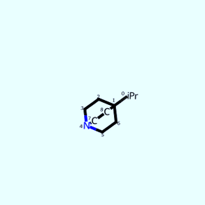 CC(C)C12CCN(CC1)CC2